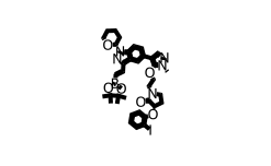 Cn1ncc(-c2ccc3c(c2)c(/C=C/B2OC(C)(C)C(C)(C)O2)nn3C2CCCCO2)c1OCCN1CC[C@@H](Oc2ccccc2I)C1=O